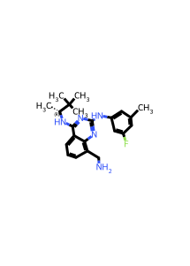 Cc1cc(F)cc(Nc2nc(N[C@H](C)C(C)(C)C)c3cccc(CN)c3n2)c1